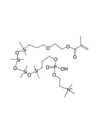 C=C(C)C(=O)OCCOCCC[Si](C)(C)O[Si](C)(C)O[Si](C)(C)O[Si](C)(C)CCCOP(=O)(O)OCC[N+](C)(C)C